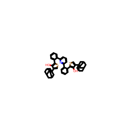 Oc1c(C23CC4CC(CC(C4)C2)C3)csc1-c1ccccc1-c1cccc(-c2ccccc2-c2scc(C34CC5CC(CC(C5)C3)C4)c2O)n1